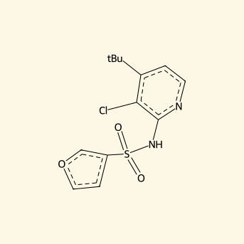 CC(C)(C)c1ccnc(NS(=O)(=O)c2ccoc2)c1Cl